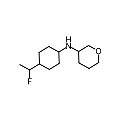 CC(F)C1CCC(NC2CCCOC2)CC1